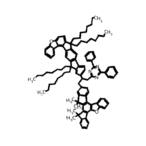 CCCCCCCCC1(CCCCCCCC)c2cc(C(Cc3ccc4c(c3)C(C)(C)c3c5c(c6oc7ccccc7c6c3-4)-c3ccccc3C5(C)C)Cc3nc(-c4ccccc4)nc(-c4ccccc4)n3)ccc2-c2cc3c(cc21)-c1c(ccc2oc4ccccc4c12)C3(CCCCCCCC)CCCCCCCC